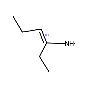 CC/C=C(/[NH])CC